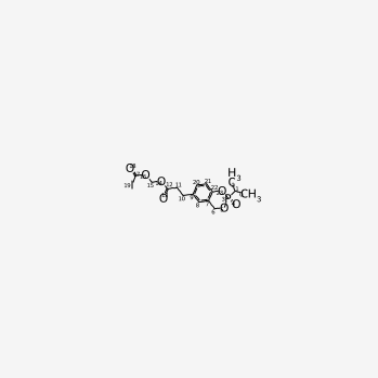 CC(C)P1(=O)OCc2cc(CCC(=O)OCOC(=O)I)ccc2O1